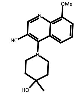 COc1cccc2c(N3CCC(C)(O)CC3)c(C#N)cnc12